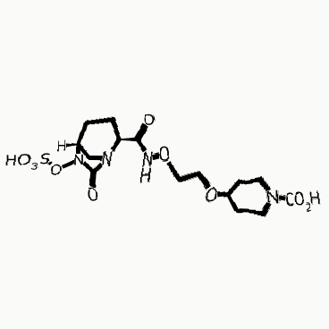 O=C(NOCCOC1CCN(C(=O)O)CC1)[C@@H]1CC[C@@H]2CN1C(=O)N2OS(=O)(=O)O